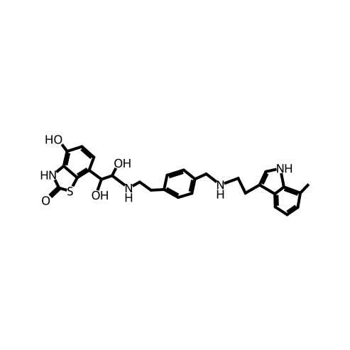 Cc1cccc2c(CCNCc3ccc(CCNC(O)C(O)c4ccc(O)c5[nH]c(=O)sc45)cc3)c[nH]c12